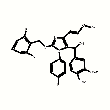 CCOC=Cc1nc(SCc2c(F)cccc2Cl)n(-c2ccc(F)cc2)c1C(O)c1ccc(OC)c(OC)c1